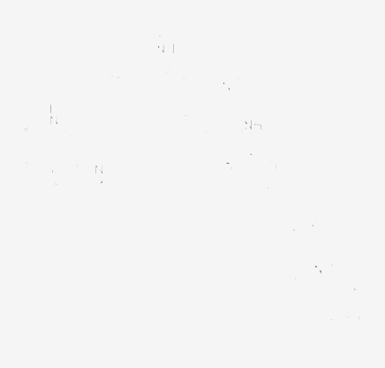 Cc1c(-c2cc3cc(NC(=O)OC4CCC5(CCN(C6COC6)CC5)C4)ncc3c(N)c2F)cnc2c1NCCO2